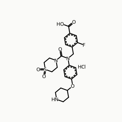 Cl.O=C(O)c1ccc(CN(C(=O)N2CCS(=O)(=O)CC2)c2ccc(OC3CCNCC3)cc2)c(F)c1